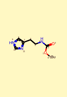 CC(C)(C)OC(=O)NCCc1c[nH]cn1